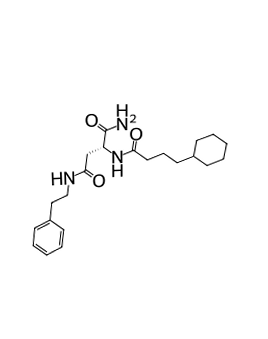 NC(=O)[C@@H](CC(=O)NCCc1ccccc1)NC(=O)CCCC1CCCCC1